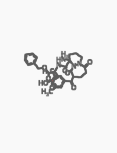 Cc1cc(C(=O)C2CCC(=O)N3CCCC(N)(C(=O)NC4CC(=O)OC4OCc4ccccc4)N3C2=O)cc(C)c1O